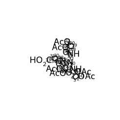 CC(=O)Oc1cccc(C(=O)NCCN(CCNC(=O)c2cccc(OC(C)=O)c2OC(C)=O)CCN(Cc2ccc(C(=O)O)cc2)C(=O)c2cccc(OC(C)=O)c2OC(C)=O)c1OC(C)=O